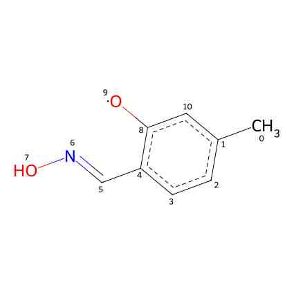 Cc1ccc(C=NO)c([O])c1